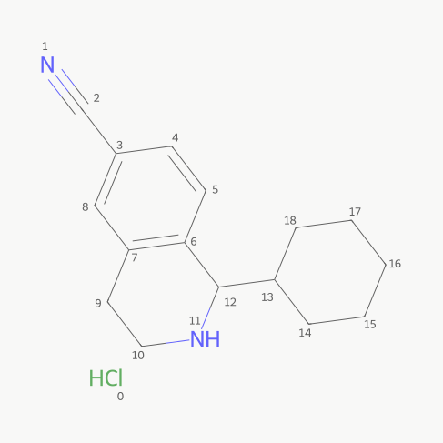 Cl.N#Cc1ccc2c(c1)CCNC2C1CCCCC1